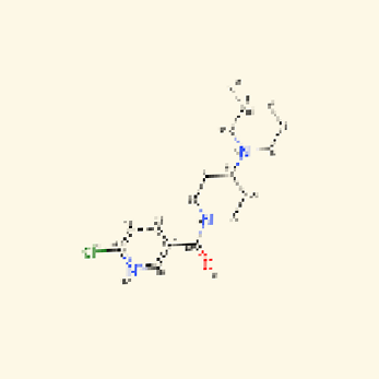 C[C@@H]1CCCN(C2CCN(C(=O)c3ccc(Cl)nc3)CC2)C1